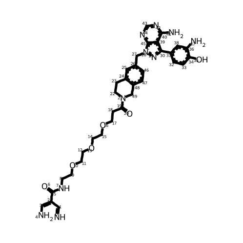 N=C/C(=C\N)C(=O)NCCOCCOCCOCCC(=O)N1CCc2cc(Cn3nc(-c4ccc(O)c(N)c4)c4c(N)ncnc43)ccc2C1